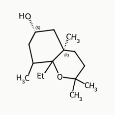 CCC12OC(C)(C)CC[C@]1(C)C[C@@H](O)CC2C